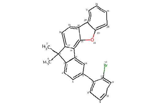 CC1(C)c2ccc(-c3ccccc3Br)cc2-c2c1ccc1c2oc2ccccc21